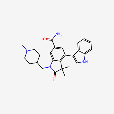 CN1CCC(CN2C(=O)C(C)(C)c3c(-c4c[nH]c5ccccc45)cc(C(N)=O)cc32)CC1